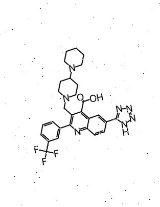 O=C(O)c1c(CN2CCC(N3CCCCC3)CC2)c(-c2cccc(C(F)(F)F)c2)nc2ccc(-c3nnn[nH]3)cc12